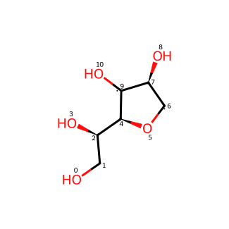 OC[C@@H](O)[C@@H]1O[CH][C@H](O)[C]1O